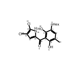 CCCCCCc1cc(C)c(O)c(C(=O)c2cc(Cl)c(Cl)[nH]2)c1O